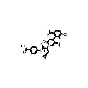 COC1=CN(C(CC2CC2)C(=O)Nc2ccc(C(=O)O)cc2)C(O)C=C1c1c(C(C)=O)ccc(Cl)c1F